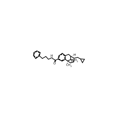 C[C@@H]1[C@H]2Cc3ccc(C(=O)NCCCc4ccccc4)cc3[C@]1(C)CCN2CC1CC1